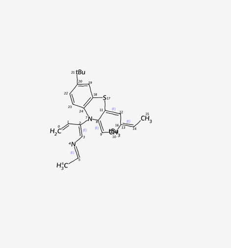 C=C/C(=C\N=C\C)N1C(=C/C)/C(=C\C(=C/C)C(C)(C)C)Sc2cc(C(C)(C)C)ccc21